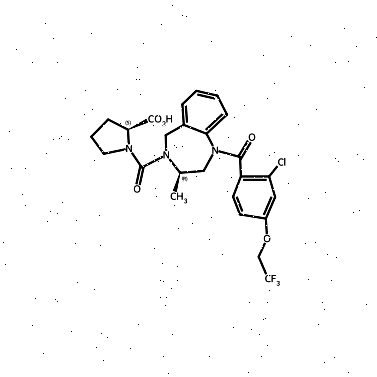 C[C@@H]1CN(C(=O)c2ccc(OCC(F)(F)F)cc2Cl)c2ccccc2CN1C(=O)N1CCC[C@H]1C(=O)O